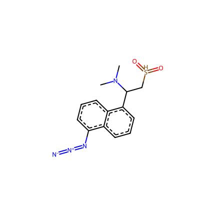 CN(C)C(C[SH](=O)=O)c1cccc2c(N=[N+]=[N-])cccc12